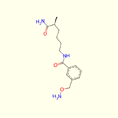 C[C@@H](CCCCNC(=O)c1cccc(CON)c1)C(N)=O